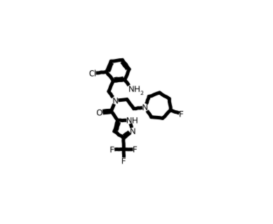 Nc1cccc(Cl)c1CN(CCN1CCCC(F)CC1)C(=O)c1cc(C(F)(F)F)n[nH]1